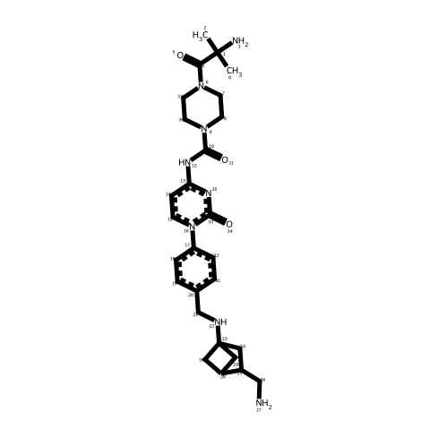 CC(C)(N)C(=O)N1CCN(C(=O)Nc2ccn(-c3ccc(CNC45CC(CN)C(C4)C5)cc3)c(=O)n2)CC1